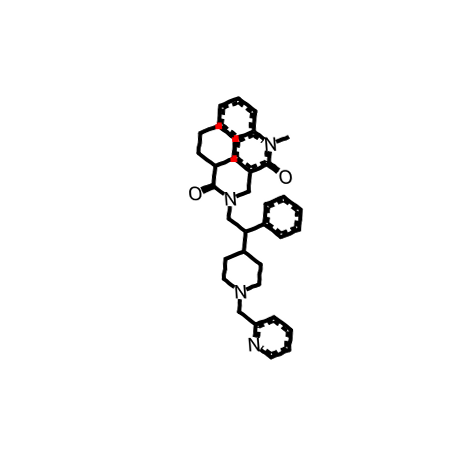 Cn1c(=O)c(CN(CC(c2ccccc2)C2CCN(Cc3ccccn3)CC2)C(=O)C2CCCCC2)cc2ccccc21